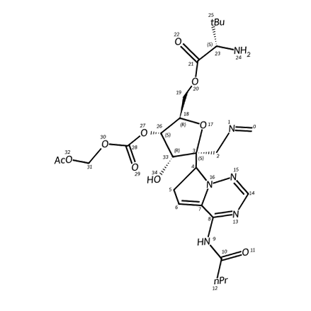 C=NC[C@@]1(C2CC=C3C(NC(=O)CCC)=NC=NN32)O[C@H](COC(=O)[C@@H](N)C(C)(C)C)[C@@H](OC(=O)OCOC(C)=O)[C@H]1O